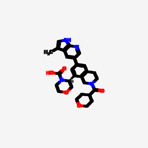 Cc1c[nH]c2ncc(-c3cc4c(c([C@@H]5COCCN5C(=O)O)c3)CN(C(=O)C3CCOCC3)CC4)cc12